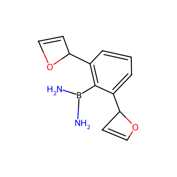 NB(N)c1c(C2C=CO2)cccc1C1C=CO1